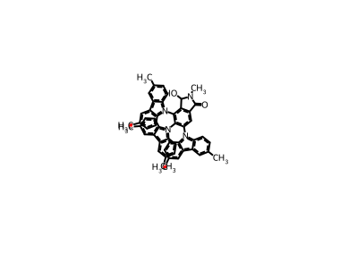 Cc1ccc2c(c1)c1cc(C)ccc1n2-c1cc2c(c(-n3c4ccc(C)cc4c4cc(C)ccc43)c1-n1c3ccc(C)cc3c3cc(C)ccc31)C(O)N(C)C2=O